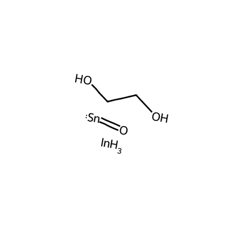 OCCO.[InH3].[O]=[Sn]